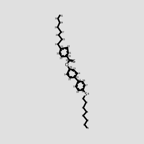 CCCCCCCCSc1ccc(-c2ccc(OC(=S)c3ccc(CCCCCCCC)cc3)cc2)cc1